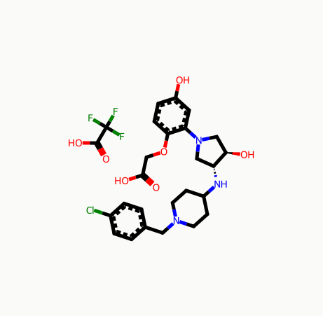 O=C(O)C(F)(F)F.O=C(O)COc1ccc(O)cc1N1C[C@@H](O)[C@H](NC2CCN(Cc3ccc(Cl)cc3)CC2)C1